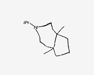 CC(C)N1CC2(C)CCCC2(C)C1